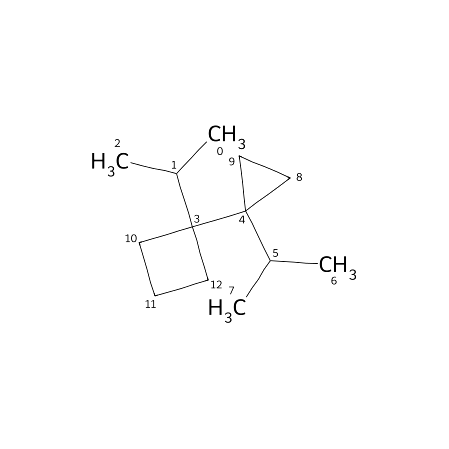 CC(C)C1(C2(C(C)C)CC2)CCC1